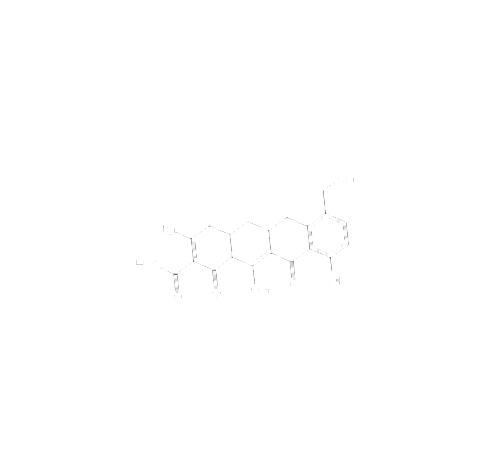 CCc1ccc(O)c2c1CC1CC3CC(O)=C(C(C)=O)C(=O)C3C(O)=C1C2=O